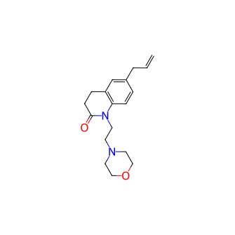 C=CCc1ccc2c(c1)CCC(=O)N2CCN1CCOCC1